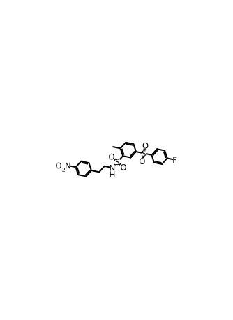 Cc1ccc(S(=O)(=O)c2ccc(F)cc2)cc1S(=O)(=O)NCCc1ccc([N+](=O)[O-])cc1